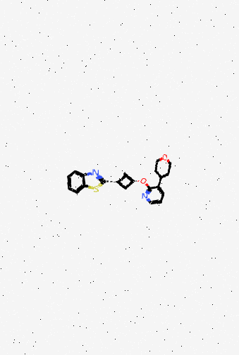 c1cnc(O[C@H]2C[C@@H](c3nc4ccccc4s3)C2)c(C2CCOCC2)c1